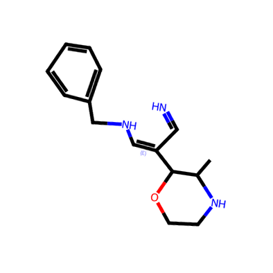 CC1NCCOC1/C(C=N)=C/NCc1ccccc1